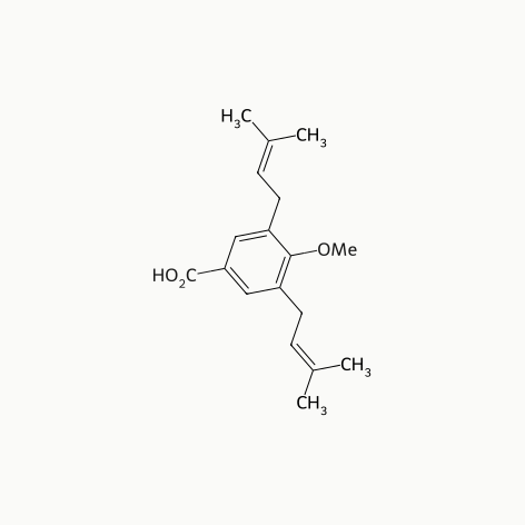 COc1c(CC=C(C)C)cc(C(=O)O)cc1CC=C(C)C